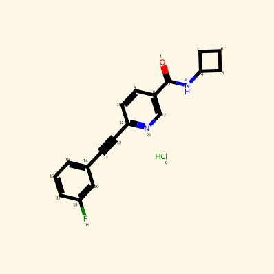 Cl.O=C(NC1CCC1)c1ccc(C#Cc2cccc(F)c2)nc1